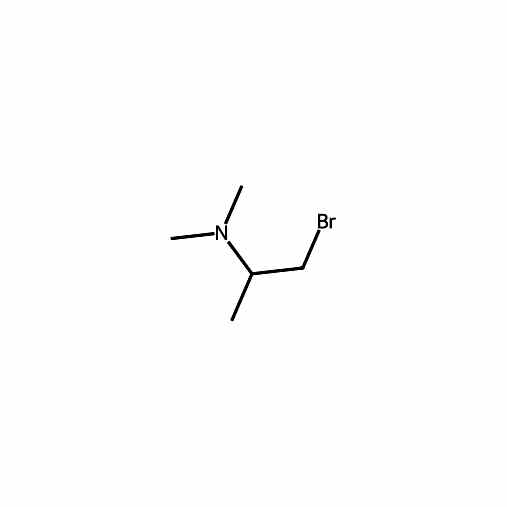 CC(CBr)N(C)C